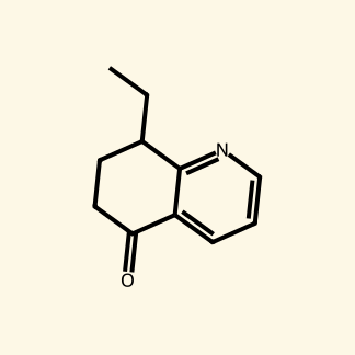 CCC1CCC(=O)c2cccnc21